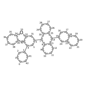 c1ccc(-c2cc(-c3c4ccccc4c(-c4ccc5ccccc5c4)c4ccccc34)cc3oc4ccccc4c23)cc1